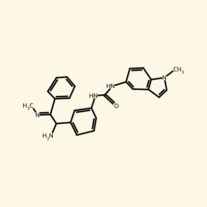 C/N=C(\c1ccccc1)C(N)c1cccc(NC(=O)Nc2ccc3c(ccn3C)c2)c1